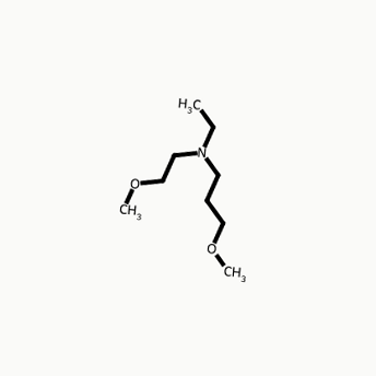 CCN(CCCOC)CCOC